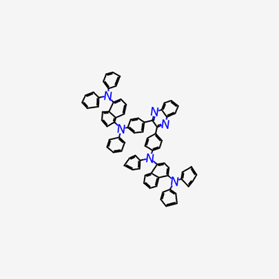 c1ccc(N(c2ccccc2)c2cccc3c(N(c4ccccc4)c4ccc(-c5nc6ccccc6nc5-c5ccc(N(c6ccccc6)c6ccc(N(c7ccccc7)c7ccccc7)c7ccccc67)cc5)cc4)cccc23)cc1